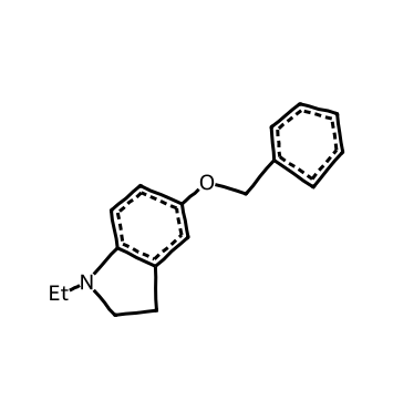 CCN1CCc2cc(OCc3ccccc3)ccc21